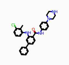 Cc1c(Cl)cccc1Nc1cc(-c2ccccc2)ccc1C(=O)Nc1ccc(N2CCNCC2)cc1